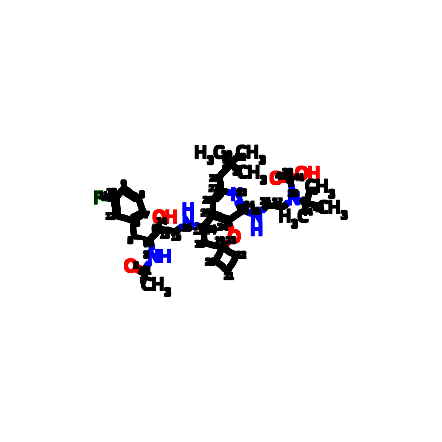 CC(=O)N[C@@H](Cc1cccc(F)c1)[C@H](O)CN[C@H]1CC2(CCC2)Oc2c1cc(CC(C)(C)C)nc2NCCN(C(=O)O)C(C)(C)C